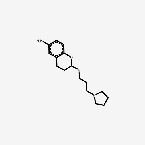 Nc1ccc2c(c1)CCC(OCCCN1CCCC1)O2